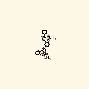 CS(=O)(=O)n1cc(-c2cccc(-c3cnc(-c4ccccc4)n3S(C)(=O)=O)c2)nc1-c1ccccc1